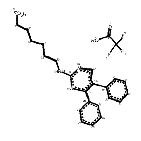 O=C(O)C(F)(F)F.O=C(O)CCCCCCNc1ncc(-c2ccccc2)c(-c2ccccc2)n1